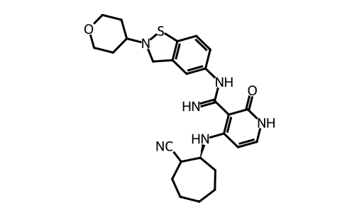 N#CC1CCCCC[C@@H]1Nc1cc[nH]c(=O)c1C(=N)Nc1ccc2c(c1)CN(C1CCOCC1)S2